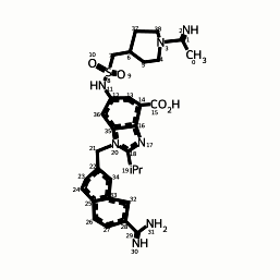 CC(=N)N1CCC(CS(=O)(=O)Nc2cc(C(=O)O)c3nc(C(C)C)n(Cc4ccc5ccc(C(=N)N)cc5c4)c3c2)CC1